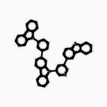 c1cc(-c2ccc3c4ccccc4n(-c4cncc(-c5ccc6sc7ccccc7c6c5)c4)c3c2)cc(-n2c3ccccc3c3ccccc32)c1